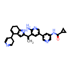 C=C(c1cc2c([nH]1)CCC=C2C1C=CN=CC1)c1cc(-c2cncc(NC(=O)C3CC3)c2)cnc1N